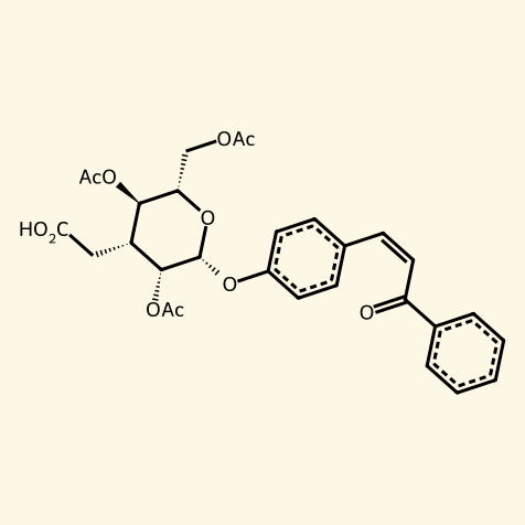 CC(=O)OC[C@@H]1O[C@H](Oc2ccc(/C=C\C(=O)c3ccccc3)cc2)[C@H](OC(C)=O)[C@H](CC(=O)O)[C@H]1OC(C)=O